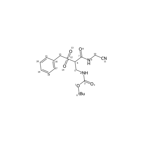 CC(C)(C)OC(=O)NCC(C(=O)NCC#N)S(=O)(=O)Cc1ccccc1